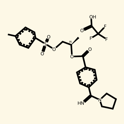 Cc1ccc(S(=O)(=O)OC[C@@H](C)OC(=O)c2ccc(C(=N)N3CCCC3)cc2)cc1.O=C(O)C(F)(F)F